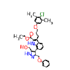 CCOC(=O)c1[nH]c2c(-c3c(COc4ccccc4)n[nH]c3CO)cccc2c1CCCOc1cc(C)c(Cl)c(C)c1